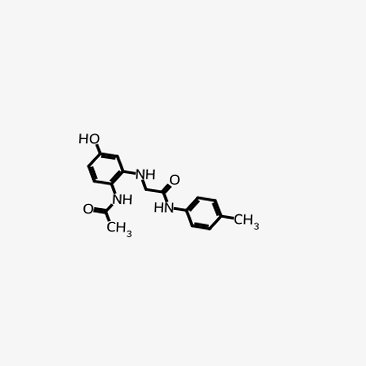 CC(=O)Nc1ccc(O)cc1NCC(=O)Nc1ccc(C)cc1